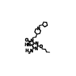 CCCCOc1nc(N)c2[nH]c(=O)n(CCC3CCN(CC4CCCC4)CC3)c2n1